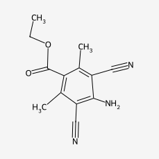 CCOC(=O)c1c(C)c(C#N)c(N)c(C#N)c1C